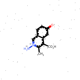 Cc1c(C(=O)O)c2cc(=O)ccc-2cn1N